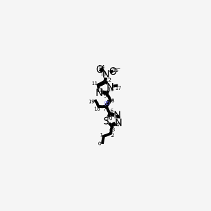 CCCc1nnc(/C(=C/c2ncc([N+](=O)[O-])n2C)CC)s1